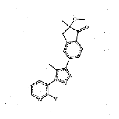 COC1(C)Cc2cc(-c3nnn(-c4cccnc4F)c3C)ccc2C1=O